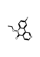 CCOn1c(=O)c2ccncc2c2cc(F)ccc21